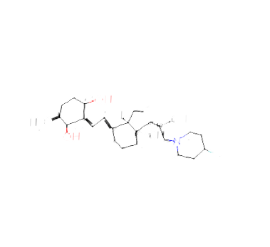 C=C1CCC(O)/C(=C\C=C2/CCC[C@]3(C)[C@@H]([C@@H](C)CN4CCC(F)CC4)CC[C@@H]23)C1O